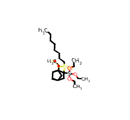 CCCCCCCCS(S)(SS)C1([Si](OCC)(OCC)OCC)CC2CCC1(CC)C2